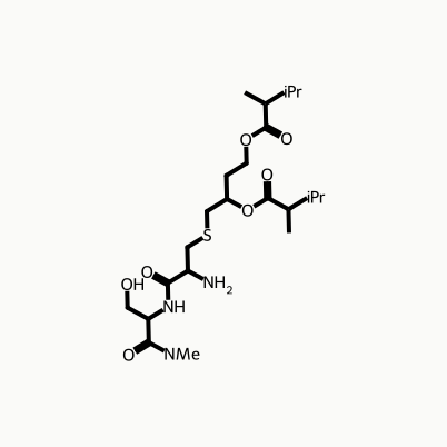 CNC(=O)C(CO)NC(=O)C(N)CSCC(CCOC(=O)C(C)C(C)C)OC(=O)C(C)C(C)C